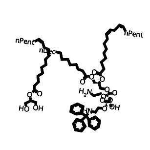 CCCCC/C=C\C/C=C\CCCCCCCC(=O)OC(CO)CO.CCCCC/C=C\C/C=C\CCCCCCCC(=O)O[C@H](COC(=O)CCCCCCCCCCCCCCCCC)COP(=O)(OCCN)OP(=O)(O)OCCNC(c1ccccc1)(c1ccccc1)c1ccccc1